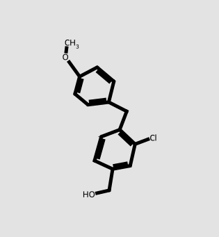 COc1ccc(Cc2[c]cc(CO)cc2Cl)cc1